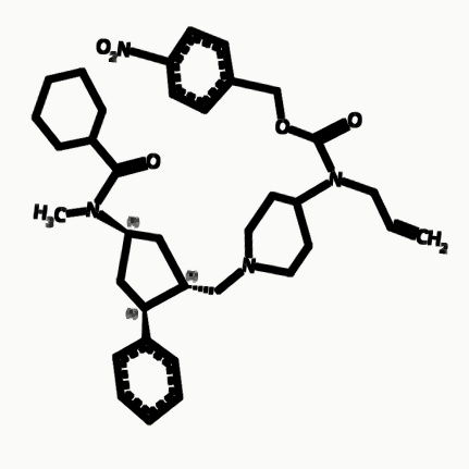 C=CCN(C(=O)OCc1ccc([N+](=O)[O-])cc1)C1CCN(C[C@H]2C[C@H](N(C)C(=O)C3CCCCC3)C[C@@H]2c2ccccc2)CC1